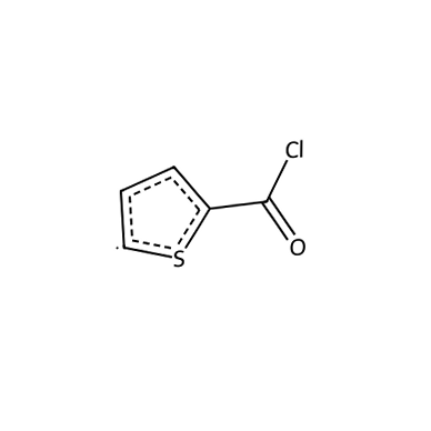 O=C(Cl)c1cc[c]s1